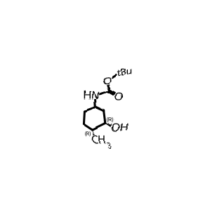 C[C@@H]1CCC(NC(=O)OC(C)(C)C)C[C@H]1O